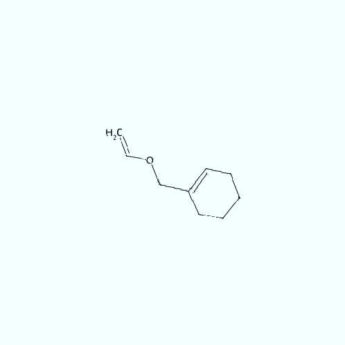 C=COCC1=CCCCC1